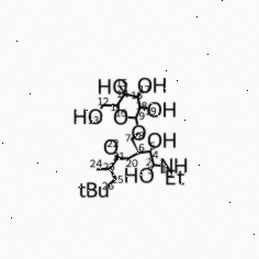 CCN[C@@H](O)[C@@H](O)[C@H](COC1OC(CO)[C@@H](O)C(O)C1O)CC(=O)C(C)CC(C)(C)C